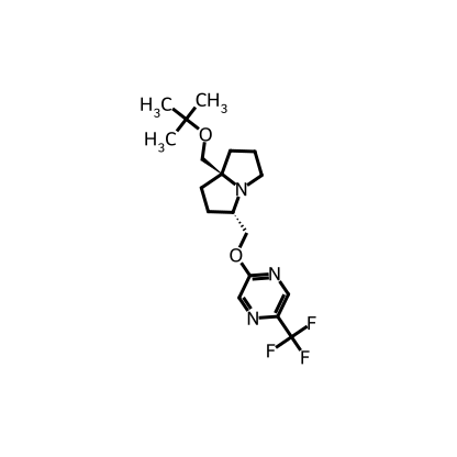 CC(C)(C)OC[C@@]12CCCN1[C@H](COc1cnc(C(F)(F)F)cn1)CC2